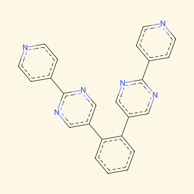 c1ccc(-c2cnc(-c3ccncc3)nc2)c(-c2cnc(-c3ccncc3)nc2)c1